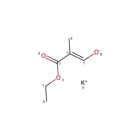 CCOC(=O)C(C)=C[O-].[K+]